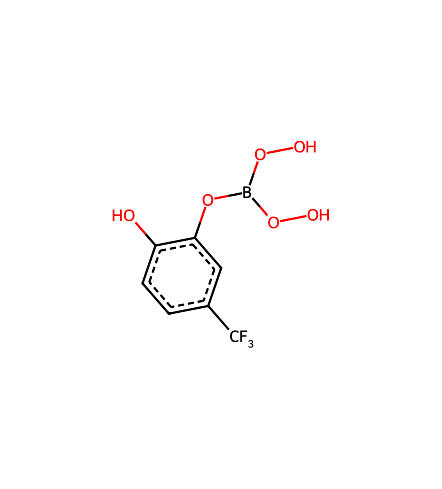 OOB(OO)Oc1cc(C(F)(F)F)ccc1O